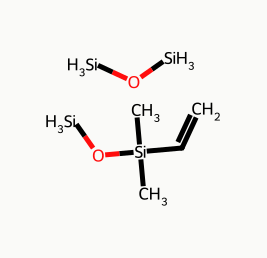 C=C[Si](C)(C)O[SiH3].[SiH3]O[SiH3]